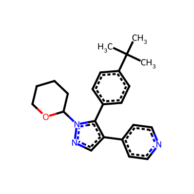 CC(C)(C)c1ccc(-c2c(-c3ccncc3)cnn2C2CCCCO2)cc1